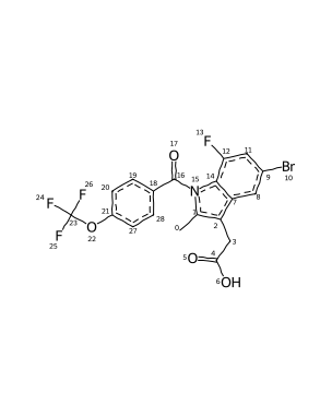 Cc1c(CC(=O)O)c2cc(Br)cc(F)c2n1C(=O)c1ccc(OC(F)(F)F)cc1